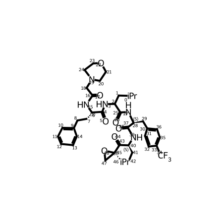 CC(C)CC(NC(=O)[C@H](CCc1ccccc1)NC(=O)CN1CCOCC1)C(=O)N[C@@H](Cc1ccc(C(F)(F)F)cc1)C(=O)N[C@@H](CC(C)C)C(=O)[C@@]1(C)CO1